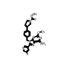 CCOc1nc(N)c2nc(-c3cncc(F)c3)n(Cc3ccc(C4CCN(C(=O)OC(C)(C)C)C4)cc3)c2n1